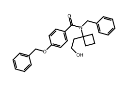 O=C(c1ccc(OCc2ccccc2)cc1)N(Cc1ccccc1)C1(CCO)CCC1